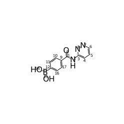 O=C(Nc1cccnn1)c1ccc(B(O)O)cc1